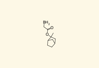 BCC(=O)OC1(C)CC2CCC1C2